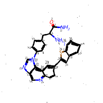 NC(=O)C(N)Cc1ccc(-n2cnc3cnc4ccc(-c5cc6ccccc6s5)cc4c32)cc1